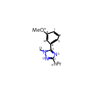 CCCc1nc(-c2cccc(OC)c2)n(C)n1